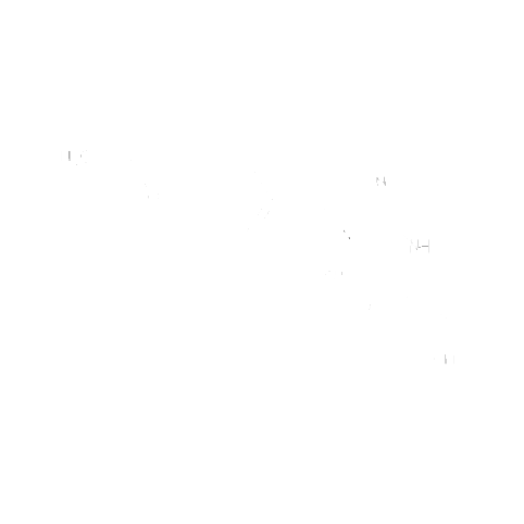 CCOc1ccc(C2CN=C(NC(=O)OC)N2C)cc1